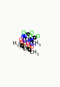 Cc1ccc(C)c(S(=O)(=O)NC(=O)c2nnn(-c3ccc(Cl)cc3Cl)c2C)c1.Cc1ccc(C)c(S(=O)(=O)NC(=O)c2nnn(-c3ccc(Cl)cc3Cl)c2C)c1